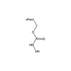 CCCCC[CH]OC(=O)NCCC